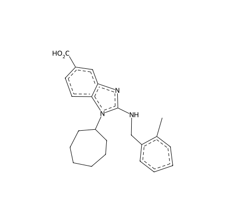 Cc1ccccc1CNc1nc2cc(C(=O)O)ccc2n1C1CCCCCC1